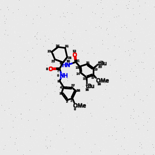 COc1ccc(CNC(=O)C2(NC(=O)c3cc(C(C)(C)C)c(OC)c(C(C)(C)C)c3)CCCCC2)cc1